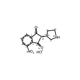 Cl.O=C1c2cccc([N+](=O)[O-])c2C(=O)N1[C@H]1CCNC1